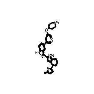 Cc1ccc(-c2cccc3[nH]c(-c4n[nH]c5ccc(-c6cncc(OC7CCNCC7)c6)cc45)cc23)s1